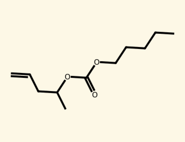 C=CCC(C)OC(=O)OCCCCC